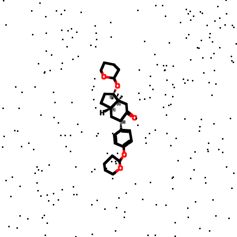 C[C@]12CC(=O)[C@H](c3ccc(OC4CCCCO4)cc3)C[C@@H]1CC[C@@H]2OC1CCCCO1